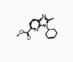 COC(=O)c1ccc2nc(C)n(C3CC=CCC3)c2n1